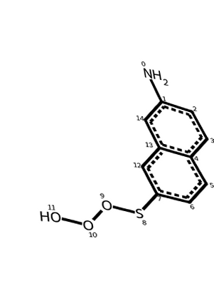 Nc1ccc2ccc(SOOO)cc2c1